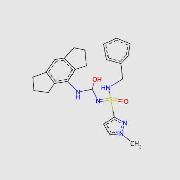 Cn1ccc(S(=O)(=NC(O)Nc2c3c(cc4c2CCC4)CCC3)NCc2ccccc2)n1